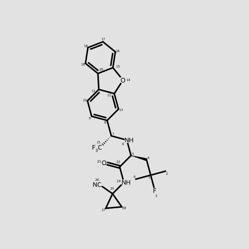 CC(C)(F)C[C@H](N[C@@H](c1ccc2c(c1)oc1ccccc12)C(F)(F)F)C(=O)NC1(C#N)CC1